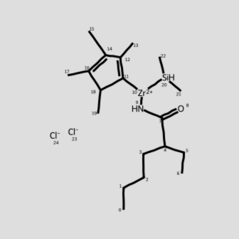 CCCCC(CC)C(=O)[NH][Zr+2]([C]1=C(C)C(C)=C(C)C1C)[SiH](C)C.[Cl-].[Cl-]